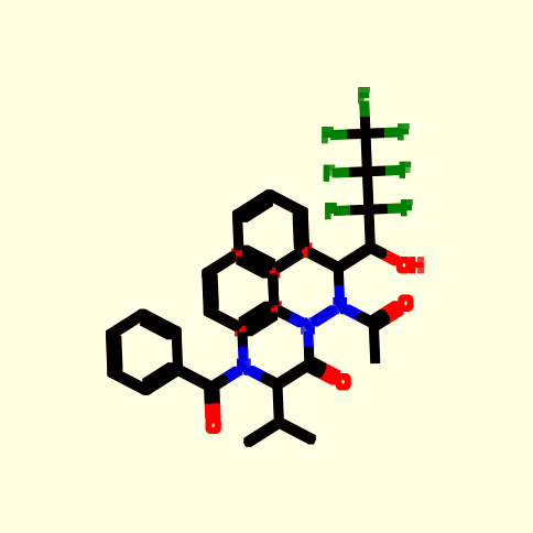 CC(=O)N(C(Cc1ccccc1)C(O)C(F)(F)C(F)(F)C(F)(F)F)N1C(=O)C(C(C)C)N(C(=O)c2ccccc2)C=C1c1ccccc1